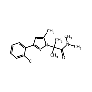 Cc1cc(-c2ccccc2Cl)nn1C(C)(C)C(=O)N(C)C